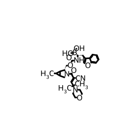 CC1C2CN(C(=O)/C(C#N)=C/C(C)(C)N3CCOCC3)[C@@H](COC(=O)N[C@@H](Cc3coc4ccccc34)B(O)O)C12